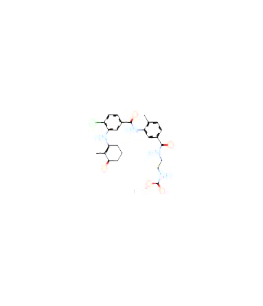 CC1=C(Nc2cc(C(=O)Nc3cc(C(=O)NCCNC(=O)OC(C)(C)C)ccc3C)ccc2Cl)CCCC1=O